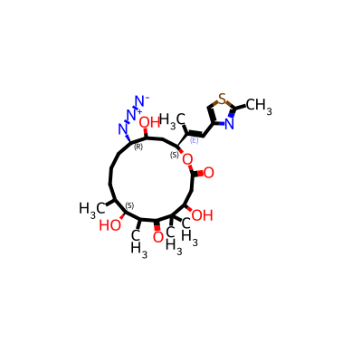 C/C(=C\c1csc(C)n1)[C@@H]1CC(O)[C@H](N=[N+]=[N-])CCCC(C)[C@H](O)C(C)C(=O)C(C)(C)C(O)CC(=O)O1